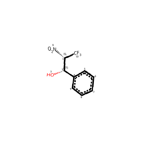 O=[N+]([O-])[C@@H]([C@@H](O)c1ccccc1)C(F)(F)F